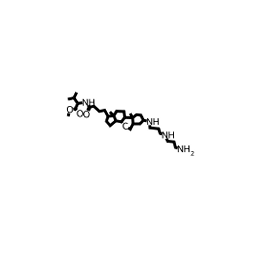 COC(=O)C(NC(=O)CCCC1CCC2C3CCC4CC(NCCCNCCCN)CCC4(C)C3CCC12C)C(C)C